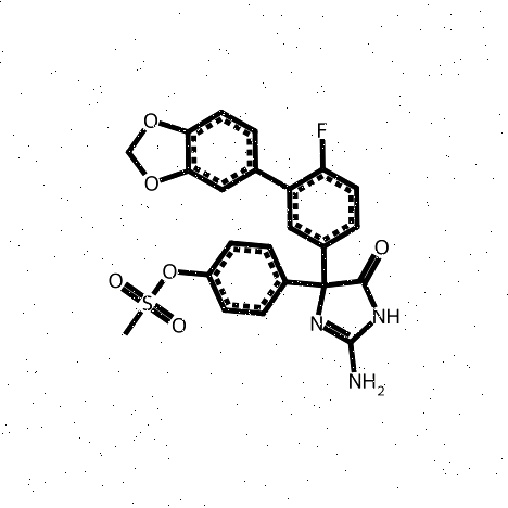 CS(=O)(=O)Oc1ccc(C2(c3ccc(F)c(-c4ccc5c(c4)OCO5)c3)N=C(N)NC2=O)cc1